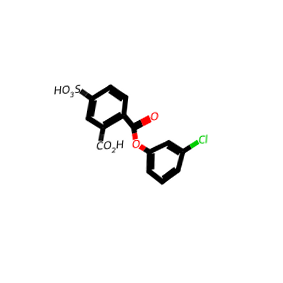 O=C(O)c1cc(S(=O)(=O)O)ccc1C(=O)Oc1cccc(Cl)c1